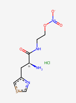 Cl.N[C@@H](Cc1cscn1)C(=O)NCCO[N+](=O)[O-]